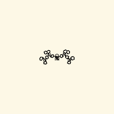 c1ccc(N(c2ccccc2)c2ccc(N(c3ccc(-c4nnc(-c5ccc(N(c6ccc(N(c7ccccc7)c7ccccc7)cc6)c6cccc7ccccc67)cc5)o4)cc3)c3cccc4ccccc34)cc2)cc1